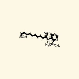 CCCCCCCC/C=C\CCCCCCCC(=O)Nc1c(SC)ncnc1N(C)C